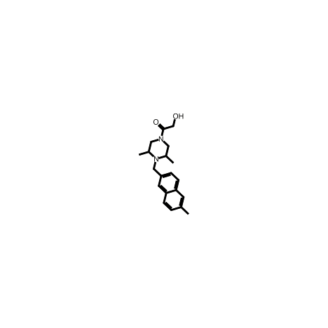 Cc1ccc2cc(CN3C(C)CN(C(=O)CO)CC3C)ccc2c1